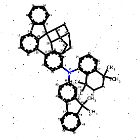 CC1(C)CCC(C)(C)c2c(N(c3ccc(-c4cccc5c4C4(c6ccccc6-5)C5CC6CC7CC4C75C6)cc3)c3ccc4c(c3)C(C)(C)c3ccccc3-4)cccc21